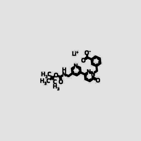 CC(C)(C)OC(=O)NCc1cncc(-c2ccc(=O)n(Cc3cccc(C(=O)[O-])c3)n2)c1.[Li+]